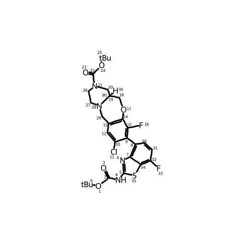 CC(C)(C)OC(=O)Nc1nc2c(-c3c(Cl)cc4c(c3F)OC[C@H]3CN(C(=O)OC(C)(C)C)CCN3C4)ccc(F)c2s1